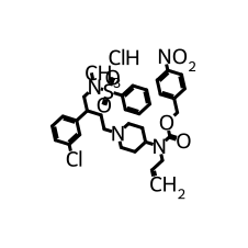 C=CCN(C(=O)OCc1ccc([N+](=O)[O-])cc1)C1CCN(CCC(CN(C)S(=O)(=O)c2ccccc2)c2cccc(Cl)c2)CC1.Cl